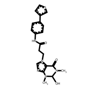 CN1C(=O)c2c(ncn2CCC(=O)Nc2ccc(-c3ccsc3)cc2)N(C)C1O